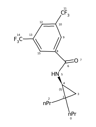 CCCC1(CCC)C[C@@H]1NC(=O)c1cc(C(F)(F)F)cc(C(F)(F)F)c1